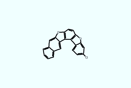 Clc1ccc2c(c1)oc1ccc3oc4cc5ccccc5cc4c3c12